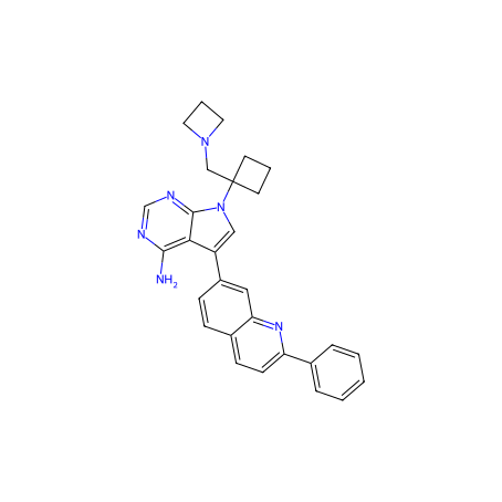 Nc1ncnc2c1c(-c1ccc3ccc(-c4ccccc4)nc3c1)cn2C1(CN2CCC2)CCC1